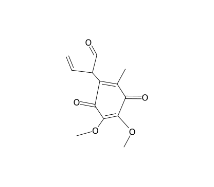 C=CC(C=O)C1=C(C)C(=O)C(OC)=C(OC)C1=O